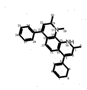 CC1C=C(C2=CC=CCC2)c2ccc3c(c2N1)N(C)C(C)C=C3c1ccccc1